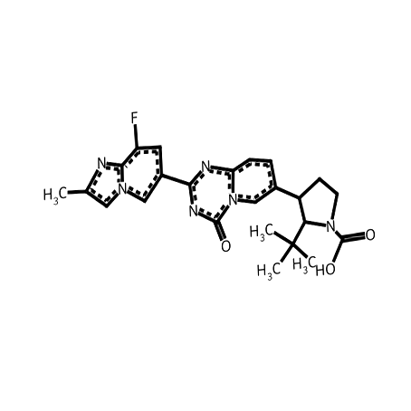 Cc1cn2cc(-c3nc(=O)n4cc(C5CCN(C(=O)O)C5C(C)(C)C)ccc4n3)cc(F)c2n1